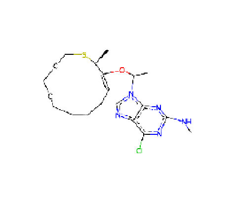 CNc1nc(Cl)c2ncn(C(C)O/C3=C/CCCCCCCCS[C@H]3C)c2n1